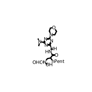 CCCCCC(CN(O)C=O)C(=O)NNc1nc(N(C)C)nc(N2CCOCC2)n1